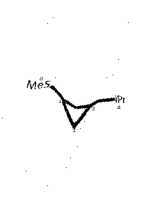 CSC1CC1C(C)C